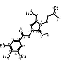 CCC(CC)CCn1c(CO)cn(CC(=O)c2cc(C(C)(C)C)c(O)c(C(C)(C)C)c2)/c1=N/C